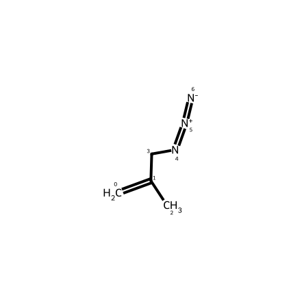 C=C(C)CN=[N+]=[N-]